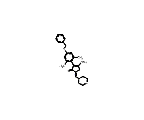 COC1=C(c2c(C)cc(OCc3ccccc3)cc2C)C(=O)/C(=C/C2CCOCC2)C1